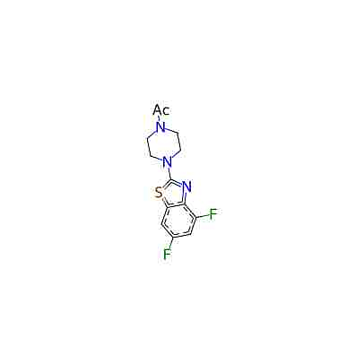 CC(=O)N1CCN(c2nc3c(F)cc(F)cc3s2)CC1